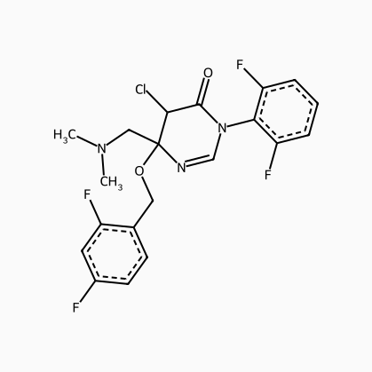 CN(C)CC1(OCc2ccc(F)cc2F)N=CN(c2c(F)cccc2F)C(=O)C1Cl